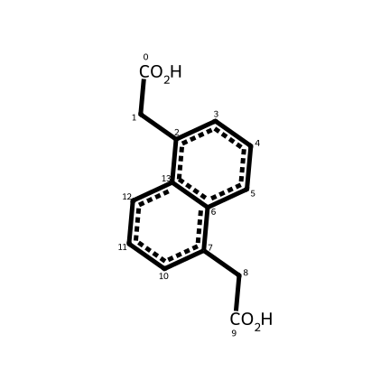 O=C(O)Cc1cccc2c(CC(=O)O)cccc12